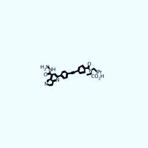 CC(C)CN(C(=O)c1ccc(C#Cc2ccc(-c3cc(C(=O)NN)c4cnccc4n3)cc2)cc1)C(C)C(=O)O